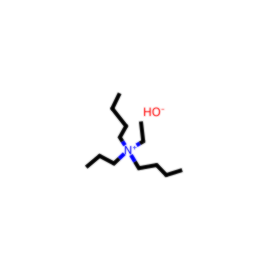 CCCC[N+](CC)(CCC)CCCC.[OH-]